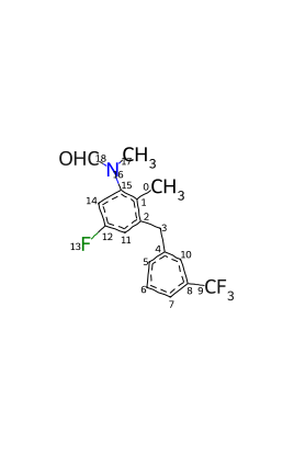 Cc1c(Cc2cccc(C(F)(F)F)c2)cc(F)cc1N(C)C=O